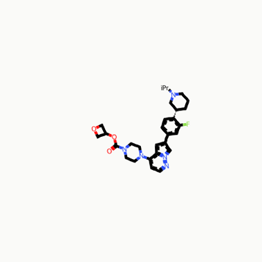 CC(C)N1CCC[C@H](c2ccc(-c3cc4c(N5CCN(C(=O)OC6COC6)CC5)ccnn4c3)cc2F)C1